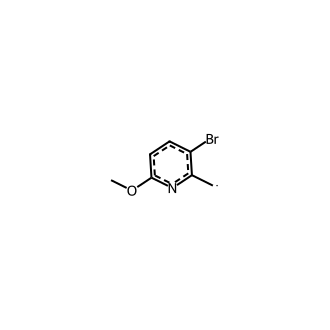 [CH2]c1nc(OC)ccc1Br